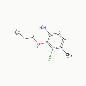 CCCOc1c(N)ccc(C)c1Cl